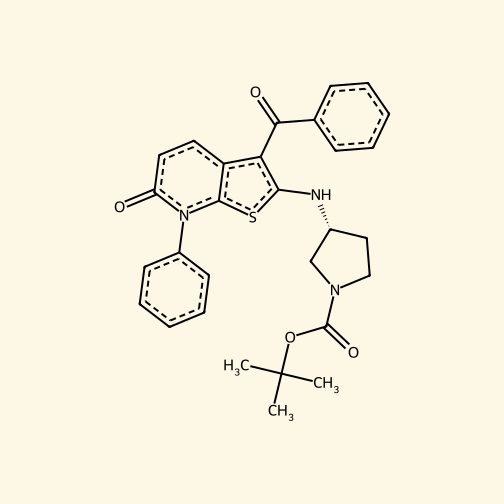 CC(C)(C)OC(=O)N1CC[C@@H](Nc2sc3c(ccc(=O)n3-c3ccccc3)c2C(=O)c2ccccc2)C1